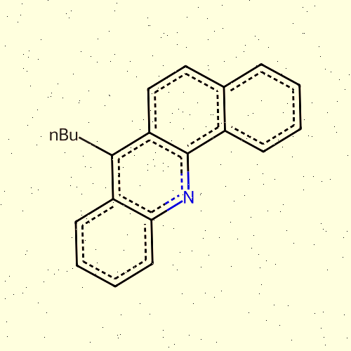 CCCCc1c2ccccc2nc2c1ccc1ccccc12